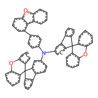 c1ccc2c(c1)Oc1ccccc1C21c2ccccc2-c2cc(N(c3ccc(-c4cccc5oc6ccccc6c45)cc3)c3ccc4c(c3)C3(c5ccccc5Oc5ccccc53)c3ccccc3-4)ccc21